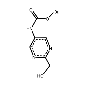 CCC(C)OC(=O)Nc1cnc(CO)nc1